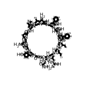 CCCC[C@H]1C(=O)N(C)[C@@H](CCCC)C(=O)N[C@@H](CCCNC(=N)N)C(=O)N[C@H](C(=O)NCC(N)=O)CSCC(=O)N[C@@H](Cc2ccc(O)cc2)C(=O)N(C)[C@@H](C)C(=O)N[C@@H](CC(N)=O)C(=O)N2CCC[C@H]2C(=O)N[C@@H](Cc2cnc[nH]2)C(=O)N[C@@H](CC(C)C)C(=O)N2C[C@@H](N)C[C@H]2C(=O)N[C@@H](Cc2c[nH]c3ccccc23)C(=O)N[C@@H](CO)C(=O)N[C@@H](Cc2csc3ccccc23)C(=O)N1C